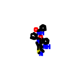 O=C(N[C@@H]1CCCC[C@@H]1C(=O)N1CC[C@@H]2[C@H](C3CN=CS3)Nc3ccccc3[C@@H]21)c1ccccc1